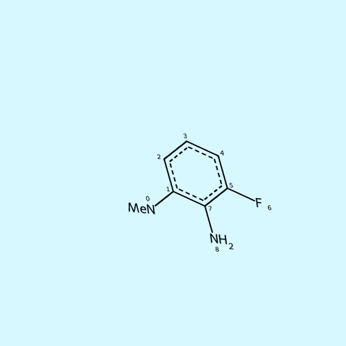 CNc1cccc(F)c1N